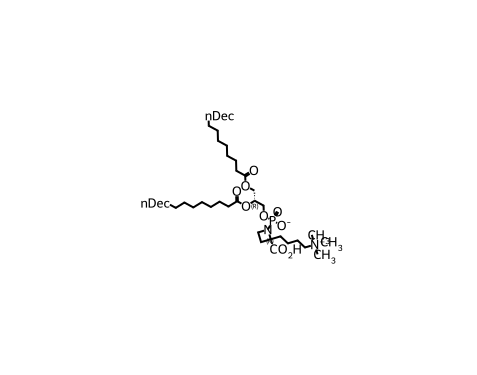 CCCCCCCCCCCCCCCCCC(=O)OC[C@H](COP(=O)([O-])N1CC[C@]1(CCCC[N+](C)(C)C)C(=O)O)OC(=O)CCCCCCCCCCCCCCCCC